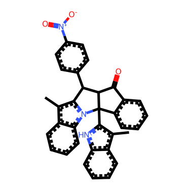 Cc1c(C23c4ccccc4C(=O)C2C(c2ccc([N+](=O)[O-])cc2)c2c(C)c4ccccc4n23)[nH]c2ccccc12